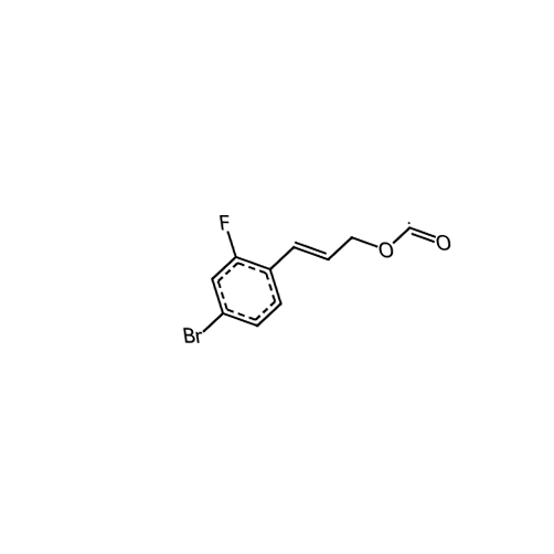 O=[C]OCC=Cc1ccc(Br)cc1F